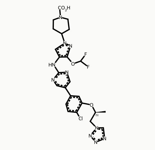 C[C@@H](Cn1cnnn1)Oc1cc(-c2cnc(Nc3cn(C4CCN(C(=O)O)CC4)nc3OC(F)F)nc2)ccc1Cl